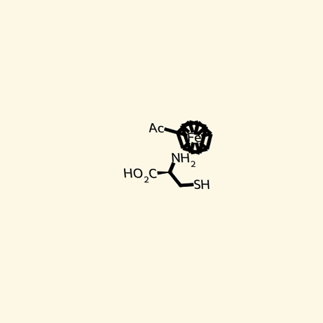 CC(=O)[C]12[CH]3[CH]4[CH]5[CH]1[Fe]45321678[CH]2[CH]1[CH]6[CH]7[CH]28.N[C@@H](CS)C(=O)O